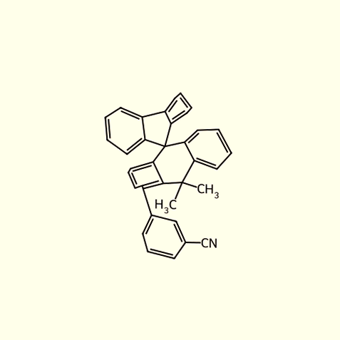 CC1(C)c2ccccc2C2(c3ccccc3-c3ccccc32)c2cccc(-c3cccc(C#N)c3)c21